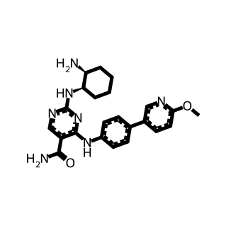 COc1ccc(-c2ccc(Nc3nc(N[C@@H]4CCCC[C@@H]4N)ncc3C(N)=O)cc2)cn1